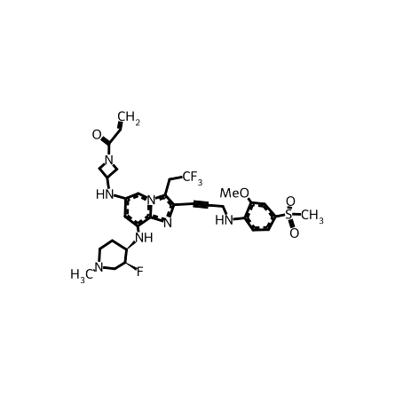 C=CC(=O)N1CC(Nc2cc(N[C@@H]3CCN(C)C[C@@H]3F)c3nc(C#CCNc4ccc(S(C)(=O)=O)cc4OC)c(CC(F)(F)F)n3c2)C1